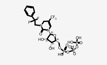 O=C1N(CC(F)(F)c2ccccc2)CC(C(F)(F)F)=CN1[C@@H]1O[C@H](COP(=O)(O)OP(=O)(O)OP(=O)(O)O)[C@H](O)[C@@H]1O